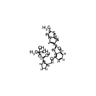 Cc1nn2cc(-c3nc4c(OC[C@H]5CCCN5C(=O)OC(C)(C)C)cccc4o3)nc2s1